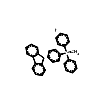 C[P+](c1ccccc1)(c1ccccc1)c1ccccc1.[I-].c1ccc2c(c1)Cc1ccccc1-2